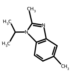 Cc1ccc2c(c1)nc(C)n2C(C)C